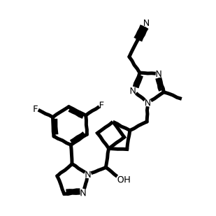 Cc1nc(CC#N)nn1CC1CC2(C(O)N3N=CCC3c3cc(F)cc(F)c3)CC1C2